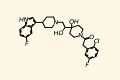 O=C(Cc1cc(F)ccc1Cl)N1CCC(O)(C(O)CN2CCC(c3c[nH]c4ccc(F)cc34)CC2)CC1